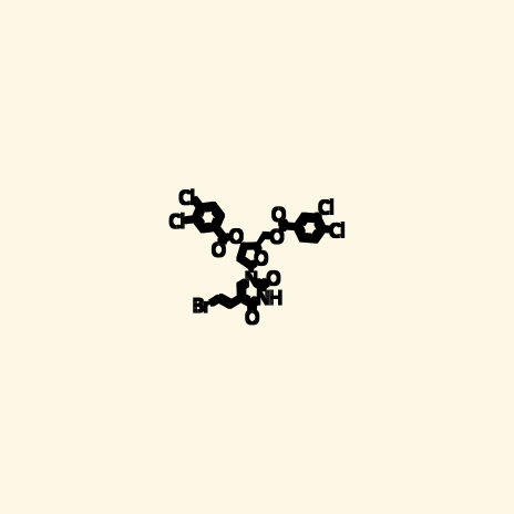 O=C(OC[C@H]1O[C@@H](n2cc(/C=C/Br)c(=O)[nH]c2=O)C[C@@H]1OC(=O)c1ccc(Cl)c(Cl)c1)c1ccc(Cl)c(Cl)c1